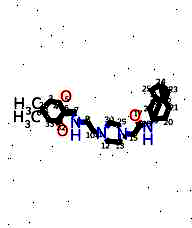 CC1(C)CC(=O)C(=CNCCN2CCN(CC(=O)NC34CCC5CC(CC5C3)C4)CC2)C(=O)C1